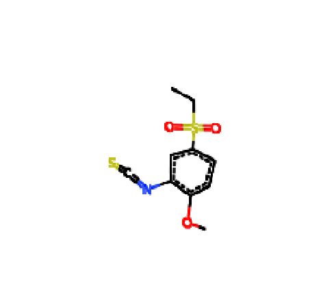 CCS(=O)(=O)c1ccc(OC)c(N=C=S)c1